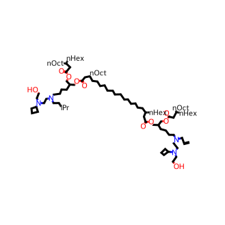 C=CCN(CCCCC(COC(=O)CC(CCCCCC)CCCCCCCC)COC(=O)CC(CCCCCC)CCCCCCCCCCCCCCC(CCCCCCCC)CC(=O)OCC(CCCCN(CCC(C)C)CCN(CCO)C1CCC1)COC(=O)CC(CCCCCC)CCCCCCCC)CCN(CCO)C1CCC1